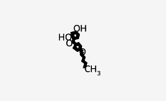 CCCCCCOc1ccc(C(=O)c2ccc(O)cc2O)cc1